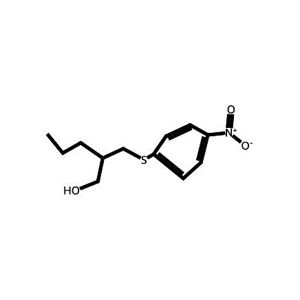 CCCC(CO)CSc1ccc([N+](=O)[O-])cc1